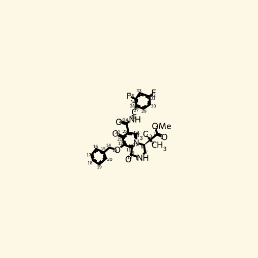 COC(=O)C(C)(C)[C@H]1CNC(=O)c2c(OCc3ccccc3)c(=O)c(C(=O)NCc3ccc(F)cc3F)cn21